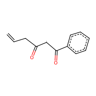 C=CCC(=O)[CH]C(=O)c1ccccc1